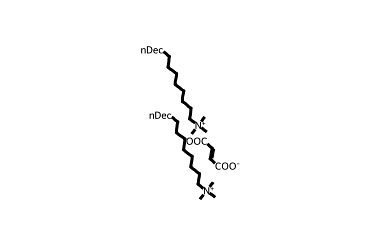 CCCCCCCCCCCCCCCCCC[N+](C)(C)C.CCCCCCCCCCCCCCCCCC[N+](C)(C)C.O=C([O-])/C=C/C(=O)[O-]